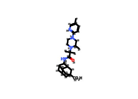 Cc1ccc(N2CCN(C(C)(C)C(=O)NC3C4CC5CC3CC(C(=O)O)(C5)C4)C(C)C2)nc1